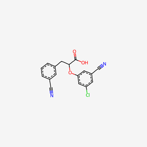 N#Cc1cccc(CC(Oc2cc(Cl)cc(C#N)c2)C(=O)O)c1